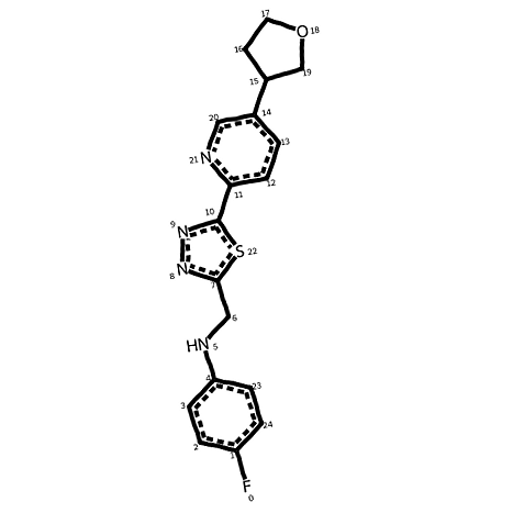 Fc1ccc(NCc2nnc(-c3ccc(C4CCOC4)cn3)s2)cc1